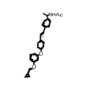 CC(=O)NC(C)c1ccc(/C=C/c2ccc(Oc3cccc(OCC4CC4)c3)cc2)cc1